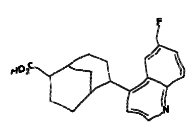 O=C(O)C1CCC2CC1CCC2c1ccnc2ccc(F)cc12